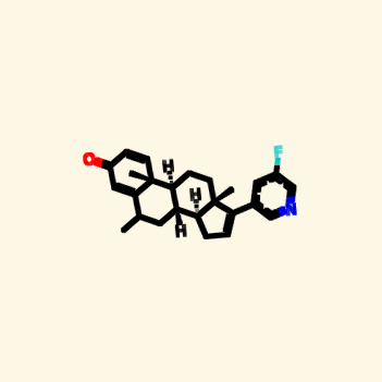 CC1C[C@@H]2[C@H](CC[C@]3(C)C(c4cncc(F)c4)=CC[C@@H]23)[C@@]2(C)C=CC(=O)C=C12